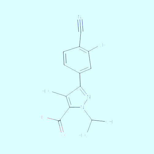 Cc1cc(-c2nn(C(C)C)c(C(=O)O)c2C)ccc1C#N